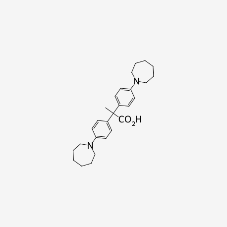 CC(C(=O)O)(c1ccc(N2CCCCCC2)cc1)c1ccc(N2CCCCCC2)cc1